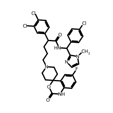 Cn1ccnc1C(NC(=O)C(CCCN1CCC2(CC1)OC(=O)Nc1ccc(F)cc12)c1ccc(Cl)c(Cl)c1)c1ccc(Cl)cc1